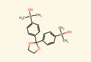 C[Si](C)(O)c1ccc(C2(c3ccc([Si](C)(C)O)cc3)OCCO2)cc1